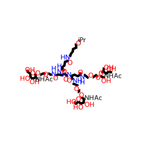 CC(=O)NC(O)C(OCCOCCNC(=O)CCC(NC(=O)CCC(NC(=O)CCCC(=O)NCCCCCCOC(C)C)C(=O)NCCOCCOC1OC(CO)C(O)C(O)C1NC(C)=O)C(=O)NCCOCCOC1OC(CO)C(O)C(O)C1NC(C)=O)OC(CO)CC(C)O